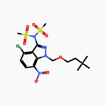 C[Si](C)(C)CCOCn1nc(N(S(C)(=O)=O)S(C)(=O)=O)c2c(Cl)ccc([N+](=O)[O-])c21